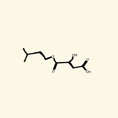 CC(C)CCOC(=O)C(O)CC(=O)O